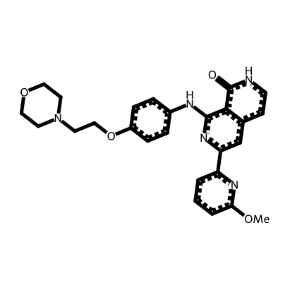 COc1cccc(-c2cc3cc[nH]c(=O)c3c(Nc3ccc(OCCN4CCOCC4)cc3)n2)n1